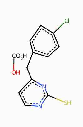 O=C(O)O.Sc1nccc(Cc2ccc(Cl)cc2)n1